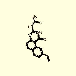 C=Cc1ccc2ccc3nc(NC(=O)C(C)(C)C)[nH]c(=O)c3c2c1